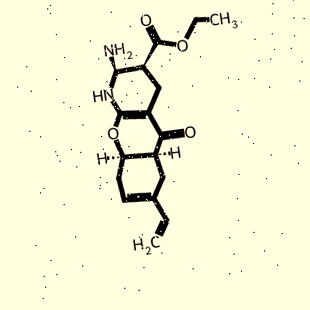 C=CC1=CC[C@H]2OC3=C(C[C@H](C(=O)OCC)[C@H](N)N3)C(=O)[C@H]2C1